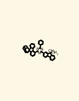 CC1(C)c2ccccc2-c2ccc(-c3nc(-c4ccccc4)nc(-c4cccc5c4-c4ccccc4C54C5CC6CC(C5)CC4C6)n3)cc21